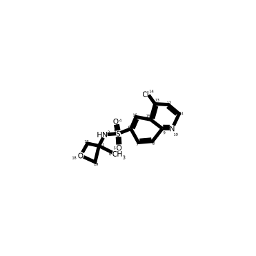 CC1(NS(=O)(=O)c2ccc3nccc(Cl)c3c2)COC1